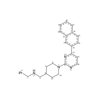 CC(C)CNCC1CCN(c2nccc(-c3ccc4ccccc4c3)n2)CC1